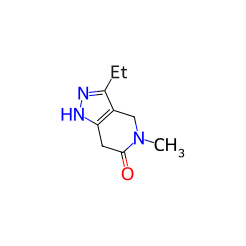 CCc1n[nH]c2c1CN(C)C(=O)C2